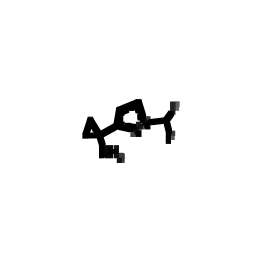 NC1(c2ccn(C(F)F)n2)CC1